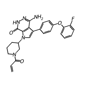 C=CC(=O)N1CCCC(n2cc(-c3ccc(Oc4ccccc4F)cc3)c3c(N)n[nH]c(=O)c32)C1